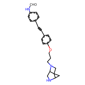 O=CNc1ccc(C#Cc2ccc(OCCCN3CC45CC4NCC35)cc2)cc1